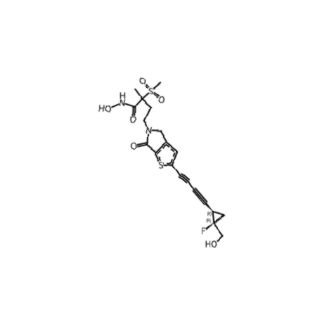 CC(CCN1Cc2cc(C#CC#C[C@H]3C[C@]3(F)CO)sc2C1=O)(C(=O)NO)S(C)(=O)=O